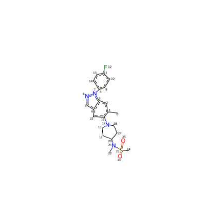 Cc1cc2c(cnn2-c2ccc(F)cc2)cc1N1CCC(N(C)S(C)(=O)=O)CC1